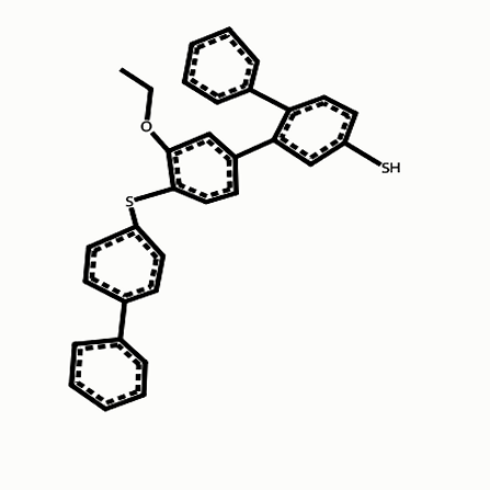 CCOc1cc(-c2cc(S)ccc2-c2ccccc2)ccc1Sc1ccc(-c2ccccc2)cc1